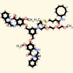 COCCOCCOCCN(CC(C)(C)SSCCCC(=O)NC1CCCCCCCC1)c1cc(COc2cc3c(cc2OC)C(=O)N2c4ccccc4C[C@H]2C=N3)cc(COc2cc3c(cc2OC)C(=O)N2c4ccccc4C[C@H]2CN3)c1